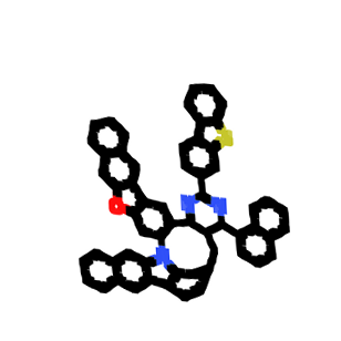 c1ccc2cc3c(cc2c1)oc1cc2c(cc13)C1=NC(c3ccc4c(c3)sc3ccccc34)=NC(c3cccc4ccccc34)C1Cc1ccc3c4cc5ccccc5cc4n-2c3c1